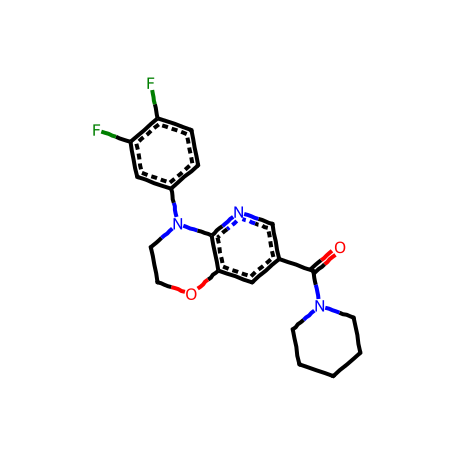 O=C(c1cnc2c(c1)OCCN2c1ccc(F)c(F)c1)N1CCCCC1